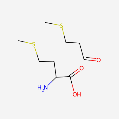 CSCCC(N)C(=O)O.CSCCC=O